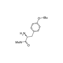 CNC(=O)[C@@H](N)Cc1ccc(OC(C)(C)C)cc1